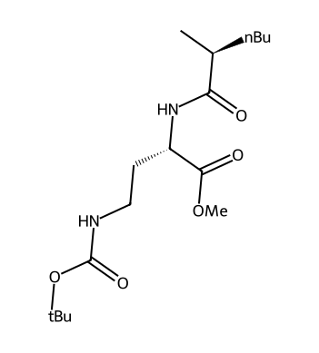 CCCC[C@H](C)C(=O)N[C@@H](CCNC(=O)OC(C)(C)C)C(=O)OC